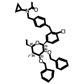 CC[C@H]1O[C@@H](c2ccc(Cl)c(Cc3ccc(CN(C(C)=O)C4CC4)cc3)c2)[C@H](OCc2ccccc2)[C@@H](OCc2ccccc2)[C@@H]1C